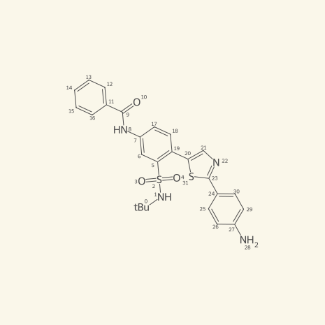 CC(C)(C)NS(=O)(=O)c1cc(NC(=O)c2ccccc2)ccc1-c1cnc(-c2ccc(N)cc2)s1